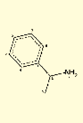 CC(N)c1[c]cccc1